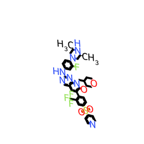 C[C@@H]1CN(c2ccc(Nc3ncc4cc(-c5ccc(S(=O)(=O)c6ccncc6)cc5C(F)(F)F)c(=O)n(CC5CCOCC5)c4n3)cc2F)C[C@H](C)N1